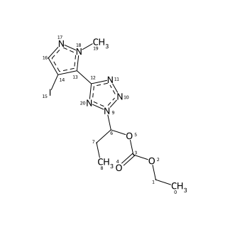 CCOC(=O)OC(CC)n1nnc(-c2c(I)cnn2C)n1